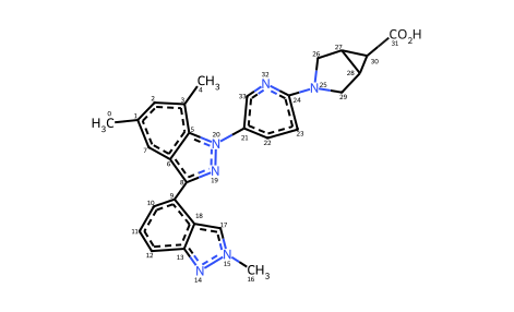 Cc1cc(C)c2c(c1)c(-c1cccc3nn(C)cc13)nn2-c1ccc(N2CC3C(C2)C3C(=O)O)nc1